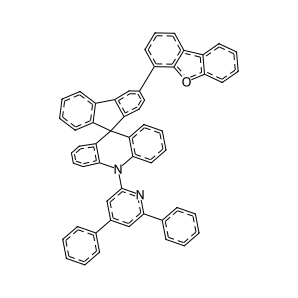 c1ccc(-c2cc(-c3ccccc3)nc(N3c4ccccc4C4(c5ccccc5-c5cc(-c6cccc7c6oc6ccccc67)ccc54)c4ccccc43)c2)cc1